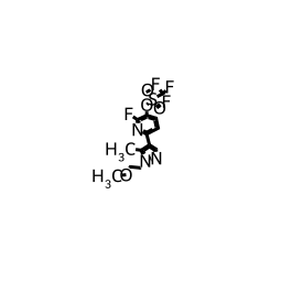 COCCn1ncc(-c2ccc(OS(=O)(=O)C(F)(F)F)c(F)n2)c1C